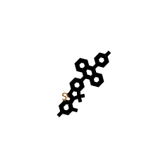 Cc1ccc(-c2c3ccccc3c(-c3ccc4c(c3)C(C)(C)c3c-4sc4cc(C)cc(C)c34)c3ccccc23)cc1